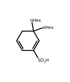 CCCCCCC1(CCCCCC)C=C(S(=O)(=O)O)C=CC1